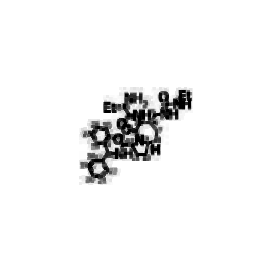 CCNC(=O)NC[C@H]1CC[C@H]2CC[C@@H](C(=O)NC(c3ccccc3)c3ccccc3)N2C(=O)[C@H]1NC(=O)[C@@H](N)CC